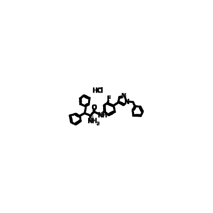 Cl.N[C@H](C(=O)Nc1ccc(-c2cnn(Cc3ccccc3)c2)c(F)c1)C(c1ccccc1)c1ccccc1